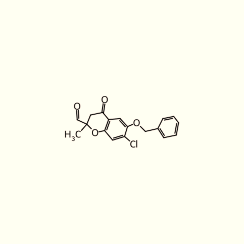 CC1(C=O)CC(=O)c2cc(OCc3ccccc3)c(Cl)cc2O1